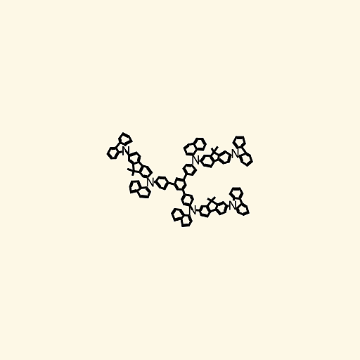 CC1(C)c2cc(N(c3ccc(-c4cc(-c5ccc(N(c6ccc7c(c6)C(C)(C)c6cc(-n8c9ccccc9c9ccccc98)ccc6-7)c6cccc7ccccc67)cc5)cc(-c5ccc(N(c6ccc7c(c6)C(C)(C)c6cc(-n8c9ccccc9c9ccccc98)ccc6-7)c6cccc7ccccc67)cc5)c4)cc3)c3cccc4ccccc34)ccc2-c2ccc(-n3c4ccccc4c4ccccc43)cc21